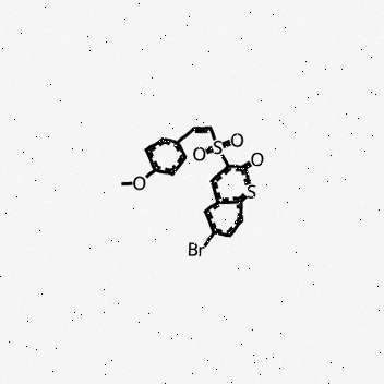 COc1ccc(/C=C\S(=O)(=O)c2cc3cc(Br)ccc3sc2=O)cc1